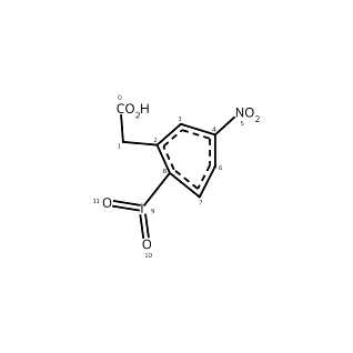 O=C(O)Cc1cc([N+](=O)[O-])ccc1I(=O)=O